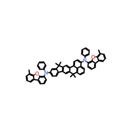 Cc1cccc2c1oc1c(N(c3ccccc3)c3ccc4c(c3)C(C)(C)c3cc5c(cc3-4)C(C)(C)c3cccc4c(N(c6ccccc6)c6cccc7c6oc6c(C)cccc67)ccc-5c34)cccc12